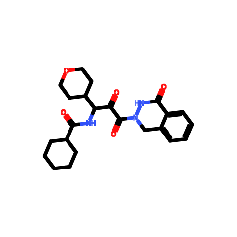 O=C1NN(C(=O)C(=O)C(NC(=O)C2CCCCC2)C2CCOCC2)Cc2ccccc21